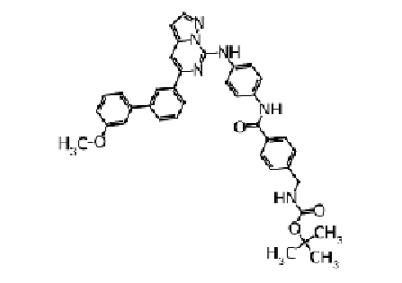 COc1cccc(-c2cccc(-c3cc4ccnn4c(Nc4ccc(NC(=O)c5ccc(CNC(=O)OC(C)(C)C)cc5)cc4)n3)c2)c1